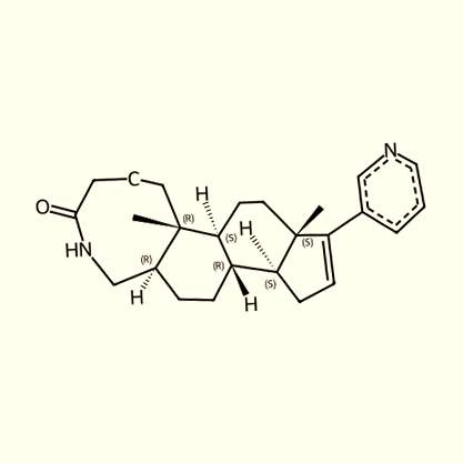 C[C@]12CCCC(=O)NC[C@@H]1CC[C@@H]1[C@@H]2CC[C@]2(C)C(c3cccnc3)=CC[C@@H]12